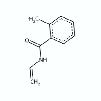 [CH2]c1ccccc1C(=O)NC=C